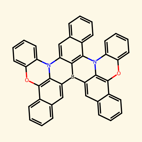 c1ccc2c(c1)Oc1c3c(cc4ccccc14)B1c4cc5ccccc5c5c4N(c4ccccc4O5)c4c1c(cc1ccccc41)N23